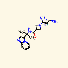 CC(C)(NC(=O)C1CN(/C(N)=C(\F)C=N)C1)c1cnc2ccccn12